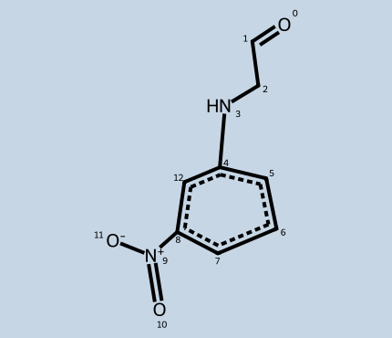 O=CCNc1cccc([N+](=O)[O-])c1